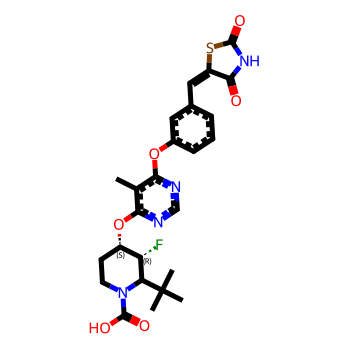 Cc1c(Oc2cccc(C=C3SC(=O)NC3=O)c2)ncnc1O[C@H]1CCN(C(=O)O)C(C(C)(C)C)[C@H]1F